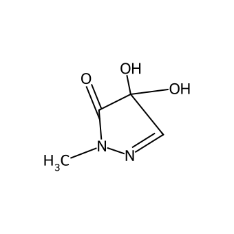 CN1N=CC(O)(O)C1=O